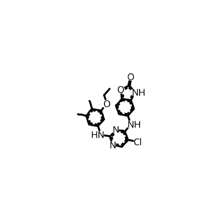 CCOc1cc(Nc2ncc(Cl)c(Nc3ccc4oc(=O)[nH]c4c3)n2)cc(C)c1C